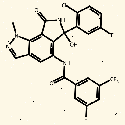 Cn1ncc2cc(NC(=O)c3cc(F)cc(C(F)(F)F)c3)c3c(c21)C(=O)NC3(O)c1cc(F)ccc1Cl